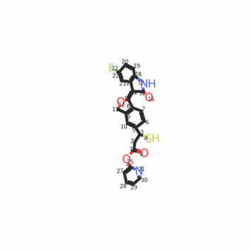 O=C(CC(S)c1ccc2c(c1)COC2=C1C(=O)Nc2ccc(F)cc21)Oc1ccccn1